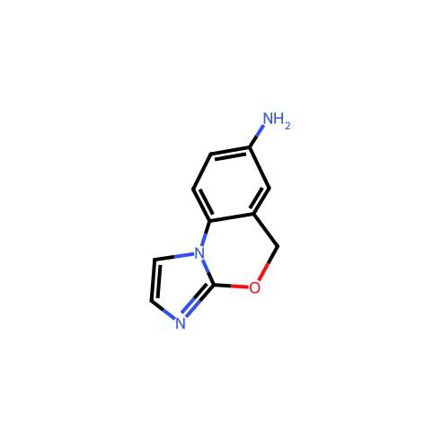 Nc1ccc2c(c1)COc1nccn1-2